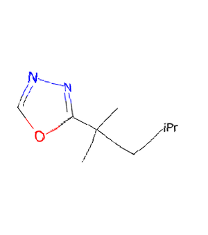 CC(C)CC(C)(C)c1nnco1